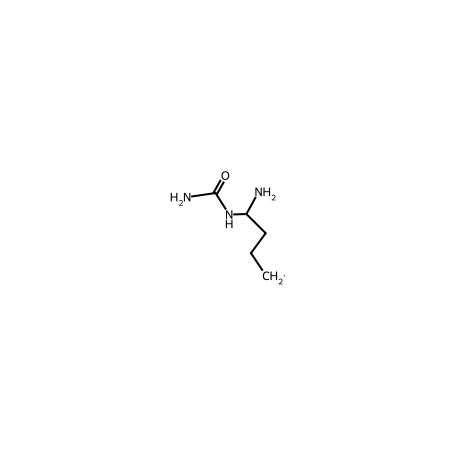 [CH2]CCC(N)NC(N)=O